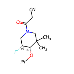 CC(C)O[C@@H]1[C@H](F)CN(C(=O)CC#N)CC1(C)C